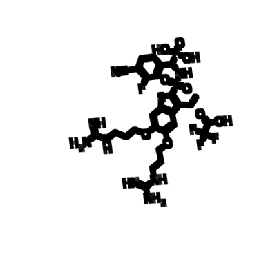 CCc1c(S(=O)(=O)NC(c2ccc(C#N)c(F)c2)P(=O)(O)O)sc2cc(OCCCNC(=N)N)c(OCCCNC(=N)N)cc12.O=C(O)C(F)(F)F